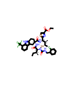 CCOC(=O)c1csc([C@@H](NC(=O)[C@]2(NC(=O)[C@H]([C@@H](C)CC)N(S)C(=O)NCc3ccccc3F)CCc3[nH]c4c(C(F)(F)F)cccc4c3C2)[C@@H](C)CC)n1